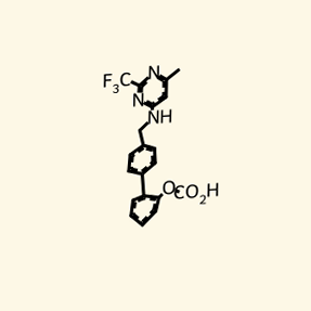 Cc1cc(NCc2ccc(-c3ccccc3OC(=O)O)cc2)nc(C(F)(F)F)n1